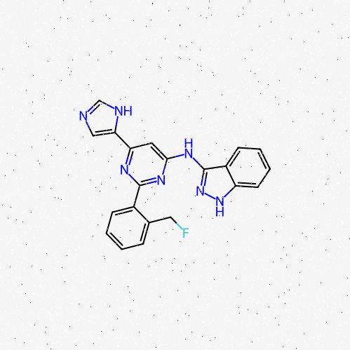 FCc1ccccc1-c1nc(Nc2n[nH]c3ccccc23)cc(-c2cnc[nH]2)n1